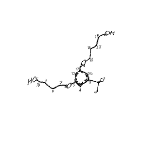 CC(=O)c1cc(OCCCCO)cc(OCCCCO)c1